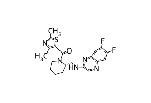 Cc1nc(C)c(C(=O)N2CCCC[C@H]2CNc2cnc3cc(F)c(F)cc3n2)s1